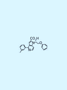 Cc1cccc(-c2nccc3c2cc(C(=O)O)n3CCOc2ccccc2)c1